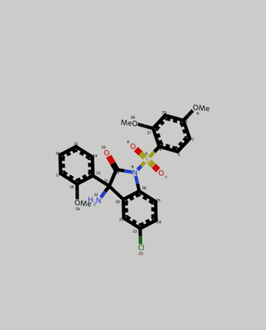 COc1ccc(S(=O)(=O)N2C(=O)C(N)(c3ccccc3OC)c3cc(Cl)ccc32)c(OC)c1